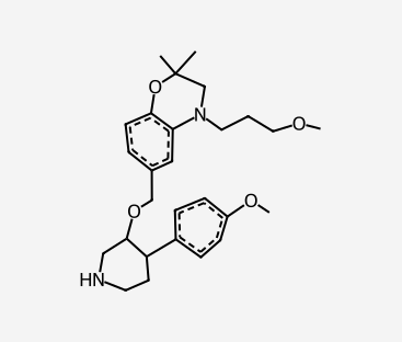 COCCCN1CC(C)(C)Oc2ccc(COC3CNCCC3c3ccc(OC)cc3)cc21